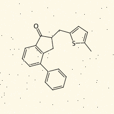 Cc1ccc(CC2Cc3c(cccc3-c3ccccc3)C2=O)s1